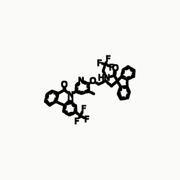 Cc1cc(NC(=O)c2ccccc2-c2ccc(C(F)(F)F)cc2)cnc1OCCCC1(C(=O)NCC(F)(F)F)c2ccccc2-c2ccccc21